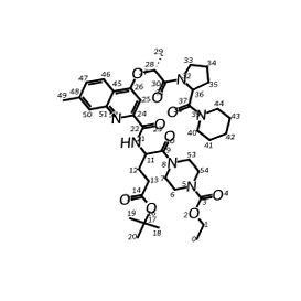 CCOC(=O)N1CCN(C(=O)C(CCC(=O)OC(C)(C)C)NC(=O)c2cc(O[C@H](C)C(=O)N3CCCC3C(=O)N3CCCCC3)c3ccc(C)cc3n2)CC1